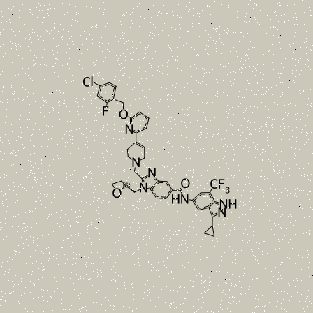 O=C(Nc1cc(C(F)(F)F)c2[nH]nc(C3CC3)c2c1)c1ccc2c(c1)nc(CN1CC=C(c3cccc(OCc4ccc(Cl)cc4F)n3)CC1)n2C[C@@H]1CCO1